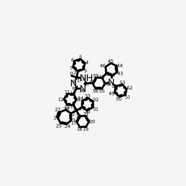 CC1(c2ccccc2)N=C(c2cccc(C(C3=CCCC=C3)(C3=CC=CC#CC3)c3ccccc3)c2)N=C(C2=CC3C4=C(C=CCC4)N(c4ccccc4)C3C=C2)N1